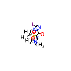 CCS(=O)(=O)/C(=C\N(C)C)C(=O)c1ncc(I)n1C